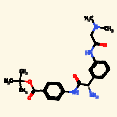 CN(C)CC(=O)Nc1cccc([C@H](N)C(=O)Nc2ccc(C(=O)OC(C)(C)C)cc2)c1